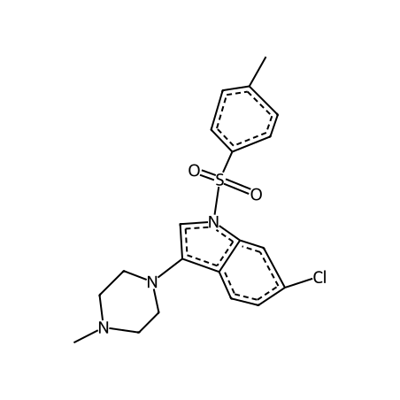 Cc1ccc(S(=O)(=O)n2cc(N3CCN(C)CC3)c3ccc(Cl)cc32)cc1